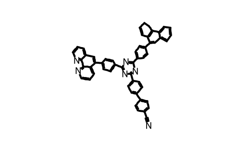 N#Cc1ccc(-c2ccc(-c3nc(-c4ccc(-c5cc6ccccc6c6c5C=CCC6)cc4)nc(-c4ccc(-c5cc6cccnc6c6ncccc56)cc4)n3)cc2)cc1